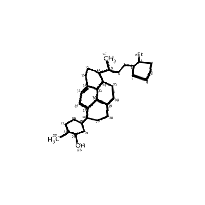 CCC1CCCCC1CCC(C)C1CCC2=CCC3C(C4CCC(C)C(O)C4)CCC4CCC1C2C43